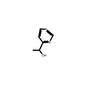 [CH2]C(O)c1ccncn1